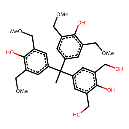 COCc1cc(C(C)(c2cc(CO)c(O)c(CO)c2)c2cc(COC)c(O)c(COC)c2)cc(COC)c1O